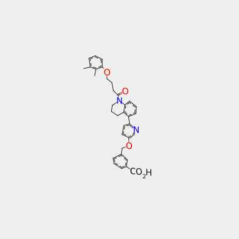 Cc1cccc(OCCCC(=O)N2CCCc3c(-c4ccc(OCc5cccc(C(=O)O)c5)cn4)cccc32)c1C